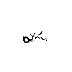 C=CC[C@H](CCCCl)C(=O)N(C)[C@H](C)[C@H](O)c1ccccc1